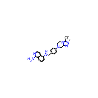 Nc1nccc2c(NCc3ccc(N4CCn5c(nnc5C(F)(F)F)C4)cc3)cccc12